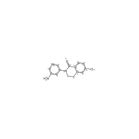 Nc1cncc(N2CCc3cc(Cl)ccc3C2=O)c1